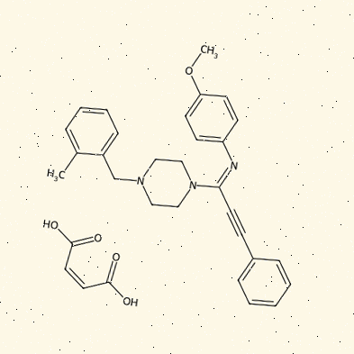 COc1ccc(N=C(C#Cc2ccccc2)N2CCN(Cc3ccccc3C)CC2)cc1.O=C(O)/C=C\C(=O)O